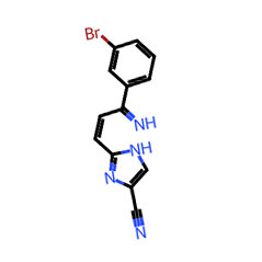 N#Cc1c[nH]c(/C=C\C(=N)c2cccc(Br)c2)n1